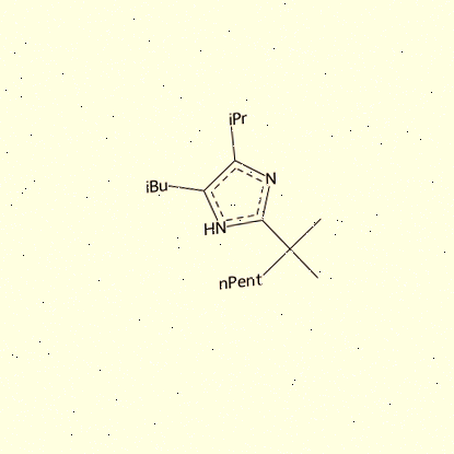 CCCCCC(C)(C)c1nc(C(C)C)c(C(C)CC)[nH]1